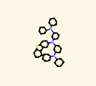 c1ccc(N(c2ccccc2)c2cccc(N(c3cccc(N(c4ccccc4)c4ccccc4)c3)c3ccc4sc5ccccc5c4c3)c2)cc1